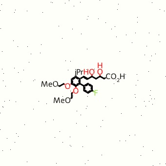 COCCOc1cc(C(C)C)c(C=CC(O)CC(O)CC(=O)O)c(-c2ccc(F)cc2)c1OCCOC